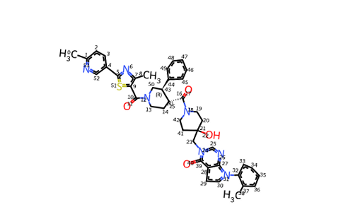 Cc1ccc(-c2nc(C)c(C(=O)N3CC[C@@H](C(=O)N4CCC(O)(Cn5cnc6c(ccn6-c6ccccc6C)c5=O)CC4)[C@H](c4ccccc4)C3)s2)cn1